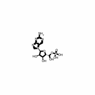 Nc1ncc2c(ncn2[C@H]2O[C@H](C(O)OP(=O)(O)O)[C@@H](O)[C@H]2O)n1